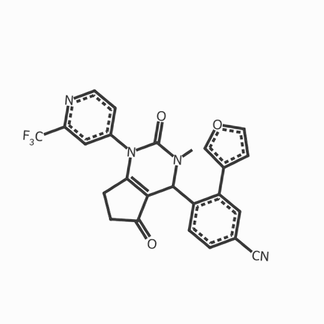 CN1C(=O)N(c2ccnc(C(F)(F)F)c2)C2=C(C(=O)CC2)C1c1ccc(C#N)cc1-c1ccoc1